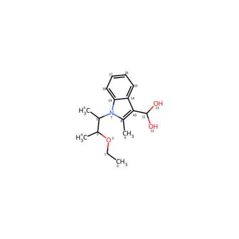 CCOC(C)C(C)n1c(C)c(C(O)O)c2ccccc21